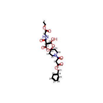 CCOC(=O)CNC(=O)C1=C(O)OC2(CCN(C(=O)CC(=O)OCc3ccccc3)CC2)OC1=O